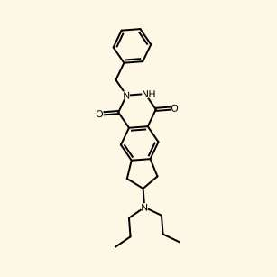 CCCN(CCC)C1Cc2cc3c(=O)[nH]n(Cc4ccccc4)c(=O)c3cc2C1